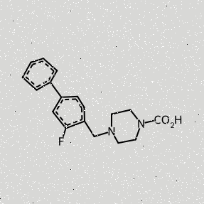 O=C(O)N1CCN(Cc2ccc(-c3ccccc3)cc2F)CC1